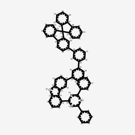 c1ccc(-c2nc(-c3ccccc3)nc(-c3cccc4oc5ccc(-c6cccc(-c7cccc(-c8ccc9c(c8)C8(c%10ccccc%10-c%10ccccc%108)c8ccccc8-9)c7)c6)cc5c34)n2)cc1